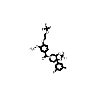 [2H]C1([2H])OC2CN(C(=O)c3ccc(OCCOC(F)(F)F)c(OC)c3)CCC2(c2cc(F)cc(F)c2)O1